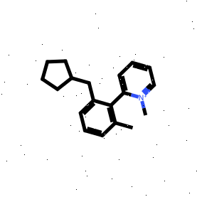 Cc1cccc(CC2CCCC2)c1-c1cccc[n+]1C